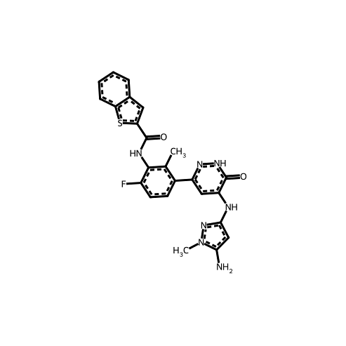 Cc1c(-c2cc(Nc3cc(N)n(C)n3)c(=O)[nH]n2)ccc(F)c1NC(=O)c1cc2ccccc2s1